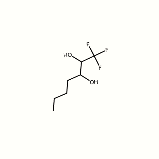 CCCCC(O)C(O)C(F)(F)F